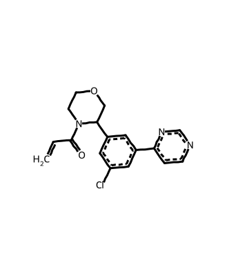 C=CC(=O)N1CCOCC1c1cc(Cl)cc(-c2ccncn2)c1